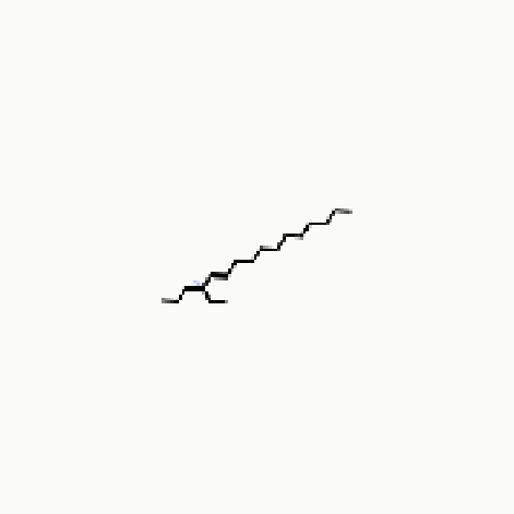 CC/[C]=C(/C=CCCCCCCCCCC)CC